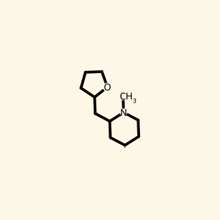 CN1CC[CH]CC1CC1CCCO1